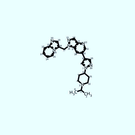 CC(C)N1CCC(n2cc(-c3cnc4cnn(Cc5cnc6ccccn56)c4c3)cn2)CC1